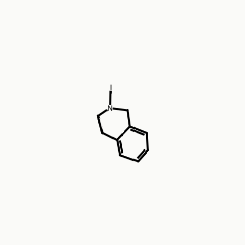 IN1CCc2ccccc2C1